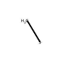 CCCCCCCCCCCCCCCCCCCCCCCCCCCCCC[S]